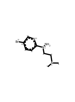 CN(C)CCN(N)c1ccc(Br)cn1